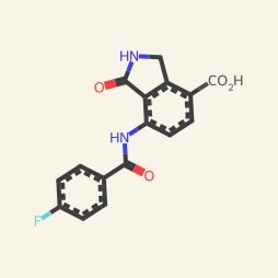 O=C(Nc1ccc(C(=O)O)c2c1C(=O)NC2)c1ccc(F)cc1